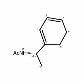 CC(=O)N[C@@H](C)C1=CC=CCC1